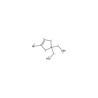 OCC1(CO)CC=C(Br)C1